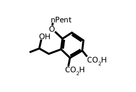 CCCCCOc1ccc(C(=O)O)c(C(=O)O)c1CC(C)O